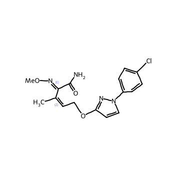 CO/N=C(C(N)=O)\C(C)=C/COc1ccn(-c2ccc(Cl)cc2)n1